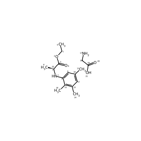 CCOC(=O)[C@H](C)Nc1cc(C)cc(C)c1C.NCC(=O)O